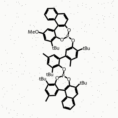 COc1cc(C(C)(C)C)c2op(Oc3cc(-c4cc(C)cc(C(C)(C)C)c4Op4oc5c(C(C)(C)C)cc(C)cc5c5c(o4)c(C(C)(C)C)cc4ccccc45)c(C)cc3C(C)(C)C)oc3ccc4ccccc4c3c2c1